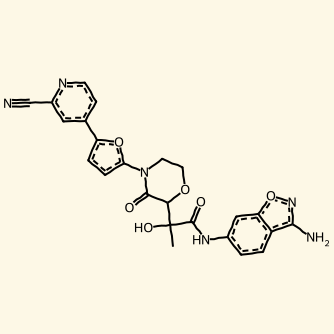 CC(O)(C(=O)Nc1ccc2c(N)noc2c1)C1OCCN(c2ccc(-c3ccnc(C#N)c3)o2)C1=O